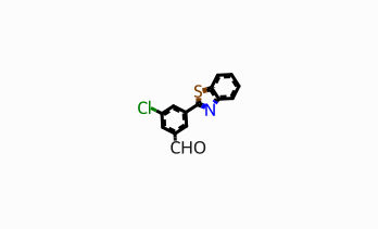 O=Cc1cc(Cl)cc(-c2nc3ccccc3s2)c1